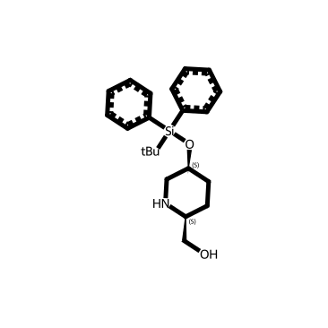 CC(C)(C)[Si](O[C@H]1CC[C@@H](CO)NC1)(c1ccccc1)c1ccccc1